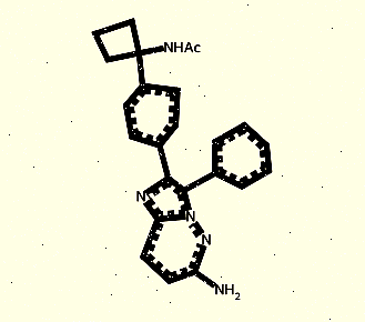 CC(=O)NC1(c2ccc(-c3nc4ccc(N)nn4c3-c3ccccc3)cc2)CCC1